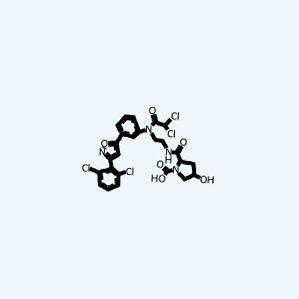 O=C(NCCN(C(=O)C(Cl)Cl)c1cccc(-c2cc(-c3c(Cl)cccc3Cl)no2)c1)C1CC(O)CN1C(=O)O